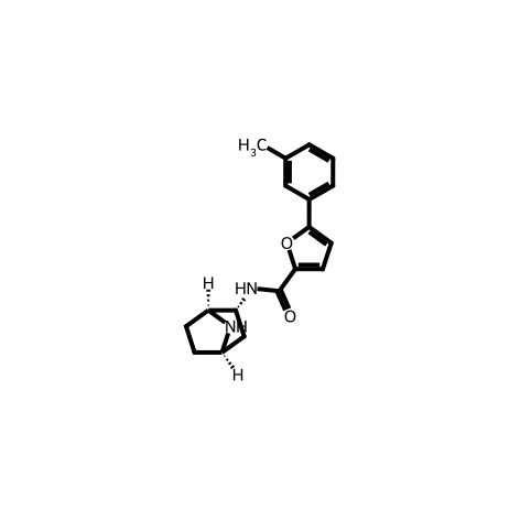 Cc1cccc(-c2ccc(C(=O)N[C@@H]3C[C@H]4CC[C@@H]3N4)o2)c1